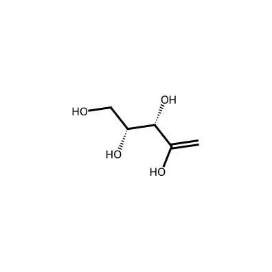 C=C(O)[C@@H](O)[C@H](O)CO